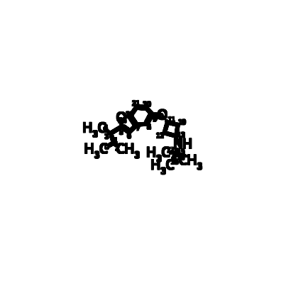 CC(C)[C@@H](C)c1cc2cc(O[C@H]3C[C@@H](NC(C)(C)C)C3)ccc2o1